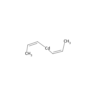 C/C=[CH]\[Cd]/[CH]=C\C